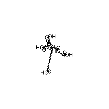 C[C@@H](CCCCNC(=O)CCN(Cc1cc(OCC(=O)O)cc(OCC(=O)O)c1)C(=O)CCCCCCCCCCCCCCC(=O)O)C(=O)O